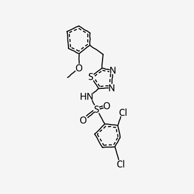 COc1ccccc1Cc1nnc(NS(=O)(=O)c2ccc(Cl)cc2Cl)s1